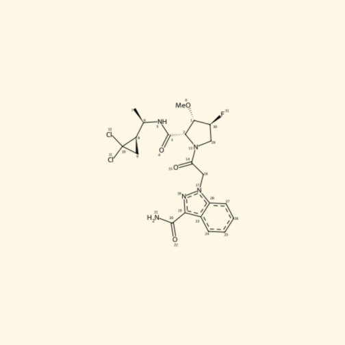 CO[C@H]1[C@@H](C(=O)N[C@H](C)[C@H]2CC2(Cl)Cl)N(C(=O)Cn2nc(C(N)=O)c3ccccc32)C[C@@H]1F